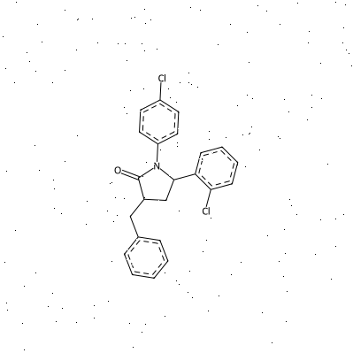 O=C1C(Cc2ccccc2)CC(c2ccccc2Cl)N1c1ccc(Cl)cc1